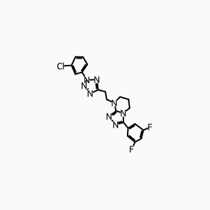 Fc1cc(F)cc(-c2nnc3n2CCCN3CCc2nnn(-c3cccc(Cl)c3)n2)c1